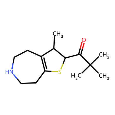 CC1C2=C(CCNCC2)SC1C(=O)C(C)(C)C